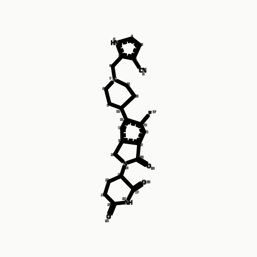 N#Cc1cc[nH]c1CN1CCC(c2cc3c(cc2F)C(=O)N(C2CCC(=O)NC2=O)C3)CC1